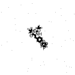 CC(C)(C)OC(=O)NC(Cc1ccc(OS(=O)(=O)C(F)(F)F)cc1)C(=O)OC(C)(C)C